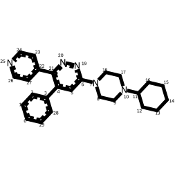 c1ccc(-c2cc(N3CCN(C4CCCCC4)CC3)nnc2-c2ccncc2)cc1